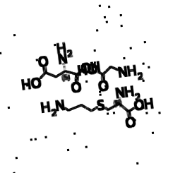 NCC(=O)O.NCCCSC[C@H](N)C(=O)O.N[C@@H](CC(=O)O)C(=O)O